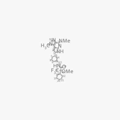 CNc1nc2[nH]c(-c3cccc(CNC(=O)[C@@](OC)(c4ccccc4)C(F)(F)F)c3)cc2c2c1ncn2C